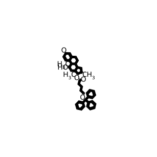 CC1CC2C3CCC4=CC(=O)C=CC4(C)C3C(O)CC2(C)C1OC(=O)CCCCOC(c1ccccc1)(c1ccccc1)c1ccccc1